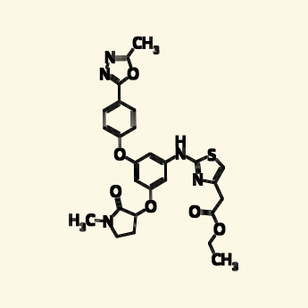 CCOC(=O)Cc1csc(Nc2cc(Oc3ccc(-c4nnc(C)o4)cc3)cc(OC3CCN(C)C3=O)c2)n1